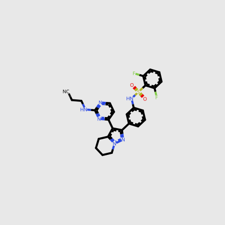 N#CCCNc1nccc(-c2c(-c3cccc(NS(=O)(=O)c4c(F)cccc4F)c3)nn3c2CCCC3)n1